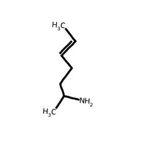 C/C=C/CCC(C)N